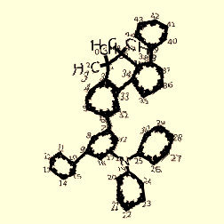 CC1(C)c2ccc(-c3cc(-c4ccccc4)cc(N(c4ccccc4)c4ccccc4)c3)cc2-c2cccc(-c3ccccc3)c2C1(C)C